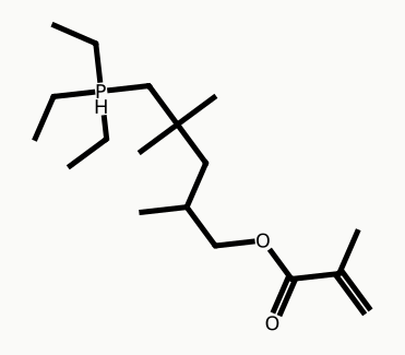 C=C(C)C(=O)OCC(C)CC(C)(C)C[PH](CC)(CC)CC